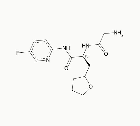 NCC(=O)N[C@@H](CC1CCCO1)C(=O)Nc1ccc(F)cn1